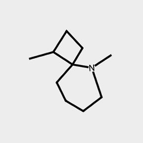 CC1CCC12CCCCN2C